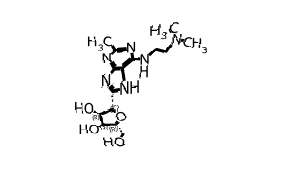 Cc1nc(NCCN(C)C)c2[nH]c([C@@H]3O[C@H](CO)[C@@H](O)[C@H]3O)nc2n1